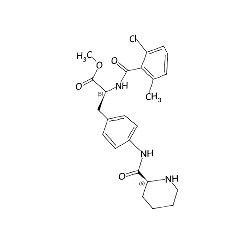 COC(=O)[C@H](Cc1ccc(NC(=O)[C@@H]2CCCCN2)cc1)NC(=O)c1c(C)cccc1Cl